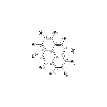 Brc1c(Br)c2c(Br)c(Br)c3c(Br)c(Br)c(Br)c4c(Br)c(Br)c(c1Br)c2c34